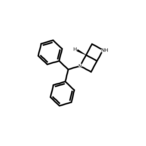 c1ccc(C(c2ccccc2)N2CC3NC[C@H]32)cc1